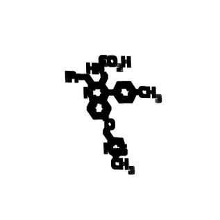 Cc1ccc(-c2c(CNC(=O)O)c(CC(C)C)nc3ccc(OCc4csc(C)n4)cc23)cc1